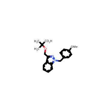 COc1ccc(Cn2nc(COC(C)(C)C(=O)O)c3ccccc32)cc1